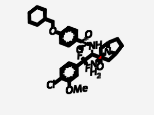 COc1cc(C(F)(F)[C@H](NS(=O)(=O)c2ccc(OCC3CCCCC3)cc2)C(=O)N2C3CCC2CC(N)C3)ccc1Cl